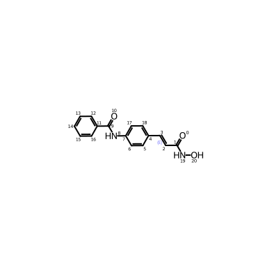 O=C(/C=C/c1ccc(NC(=O)c2ccccc2)cc1)NO